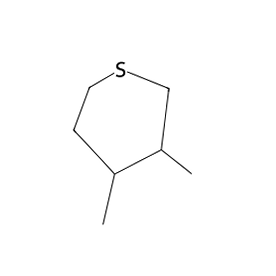 CC1CCSCC1C